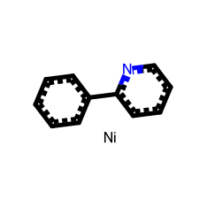 [Ni].c1ccc(-c2ccccn2)cc1